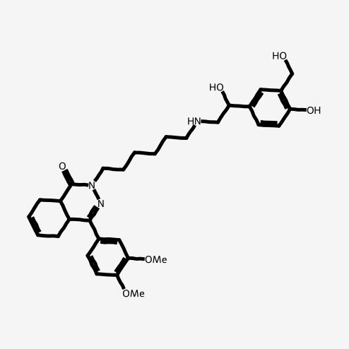 COc1ccc(C2=NN(CCCCCCNCC(O)c3ccc(O)c(CO)c3)C(=O)C3CC=CCC23)cc1OC